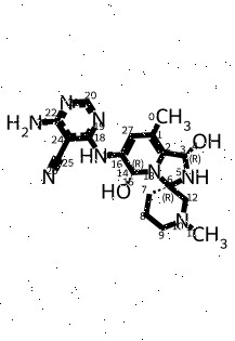 CC1=C2[C@@H](O)N[C@]3(CCCN(C)C3)N2[C@H](O)C(Nc2ncnc(N)c2C#N)=C1